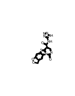 O=C(Nc1nnn[nH]1)c1cnc(=O)n2c1sc1cc3c(cc12)COO3